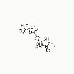 CCN(C)C(O)C(S)C1(O)CN(C(=O)OC(C)(C)C(Cl)(Cl)Cl)C1